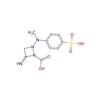 CN(c1ccc(S(=O)(=O)O)cc1)N1CC(=N)N1C(=O)O